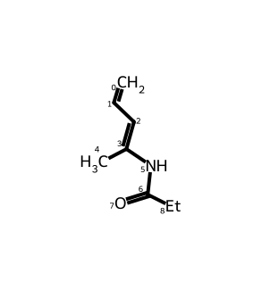 C=C/C=C(\C)NC(=O)CC